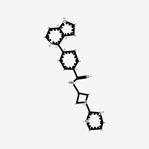 O=C(NC1CN(c2ncccn2)C1)c1ccc(-c2nccc3occc23)cc1